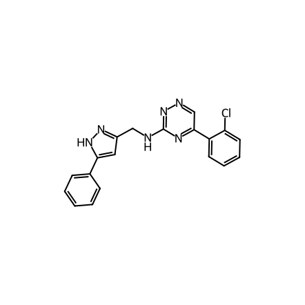 Clc1ccccc1-c1cnnc(NCc2cc(-c3ccccc3)[nH]n2)n1